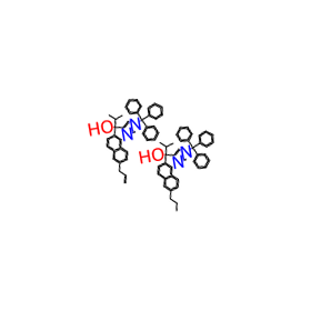 C=CCc1ccc2cc(C(O)(c3cn(C(c4ccccc4)(c4ccccc4)c4ccccc4)cn3)C(C)C)ccc2c1.CCCc1ccc2cc(C(O)(c3cn(C(c4ccccc4)(c4ccccc4)c4ccccc4)cn3)C(C)C)ccc2c1